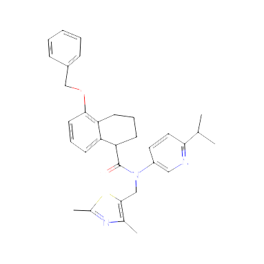 Cc1nc(C)c(CN(C(=O)C2CCCc3c(OCc4ccccc4)cccc32)c2ccc(C(C)C)nc2)s1